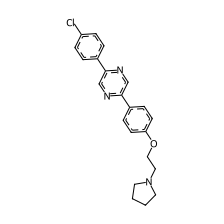 Clc1ccc(-c2cnc(-c3ccc(OCCN4CCCC4)cc3)cn2)cc1